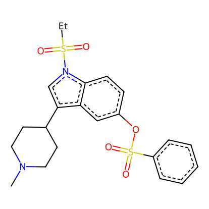 CCS(=O)(=O)n1cc(C2CCN(C)CC2)c2cc(OS(=O)(=O)c3ccccc3)ccc21